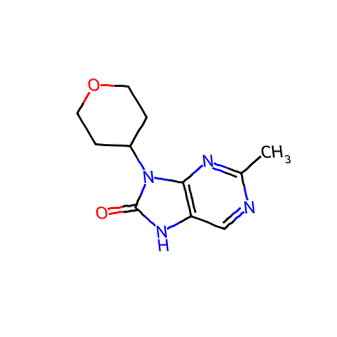 Cc1ncc2[nH]c(=O)n(C3CCOCC3)c2n1